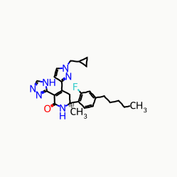 CCCCCc1ccc([C@]2(C)CC(c3ccn(CC4CC4)n3)=C(c3nnc[nH]3)C(=O)N2)c(F)c1